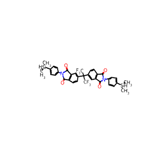 C[SiH](C)c1ccc(N2C(=O)c3ccc(C(c4ccc5c(c4)C(=O)N(c4ccc([SiH](C)C)cc4)C5=O)(C(F)(F)F)C(F)(F)F)cc3C2=O)cc1